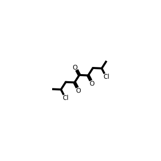 CC(Cl)CC(=O)C(=O)C(=O)CC(C)Cl